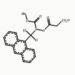 CCC(CC)(c1c2ccccc2cc2ccccc12)N(OC(=O)CC(=O)O)C(=O)OC(C)(C)C